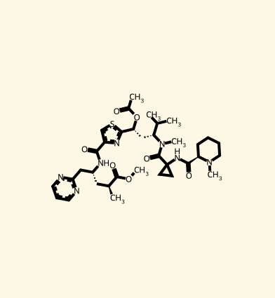 COC(=O)[C@@H](C)C[C@H](Cc1ncccn1)NC(=O)c1csc([C@@H](C[C@H](C(C)C)N(C)C(=O)C2(NC(=O)[C@H]3CCCCN3C)CC2)OC(C)=O)n1